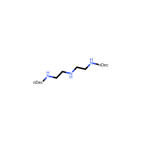 CCCCCCCCCCNCCNCCNCCCCCCCCCC